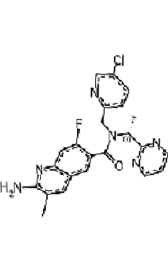 Cc1cc2cc(C(=O)N(Cc3ccc(Cl)cn3)[C@H](C)c3ncccn3)c(F)cc2nc1N